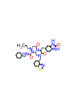 C=CCN1CC(=O)N2C(CN(Cc3cccc4scnc34)C(=O)[C@@H]2Cc2ccc3[nH]c(=O)[nH]c3c2)N1C(=O)NCc1ccccc1